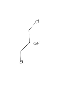 CCCCCCl.[Ge]